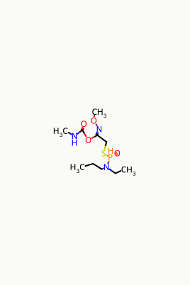 CCCN(CC)[PH](=O)SCC(=NOC)OC(=O)NC